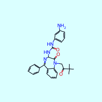 CC(C)(C)C(=O)CN1C(=O)C(NC(=O)Nc2cccc(N)c2)N=C(c2ccccc2)c2ccccc21